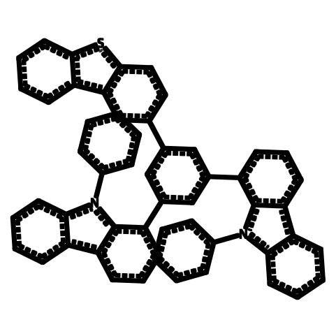 c1ccc(-n2c3ccccc3c3cccc(-c4cc(-c5ccc6sc7ccccc7c6c5)cc(-c5cccc6c7ccccc7n(-c7ccccc7)c56)c4)c32)cc1